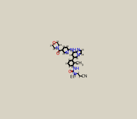 CCN(CCC#N)C(=O)Nc1cccc(-c2cc(Nc3ccc(C(=O)N4CCOCC4)cn3)c3nccn3c2)c1C